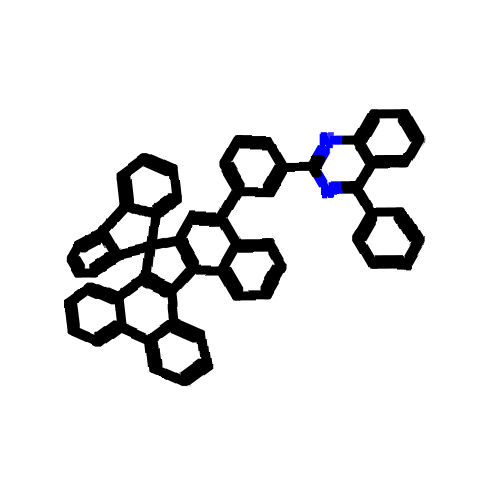 c1ccc(-c2nc(-c3cccc(-c4cc5c(c6ccccc46)-c4c(c6ccccc6c6ccccc46)C54c5ccccc5-c5ccccc54)c3)nc3ccccc23)cc1